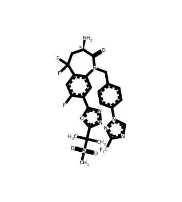 CC(C)(c1nnc(-c2cc3c(cc2F)C(F)(F)C[C@@H](N)C(=O)N3Cc2ccc(-n3cnc(C(F)(F)F)n3)cc2)o1)S(C)(=O)=O